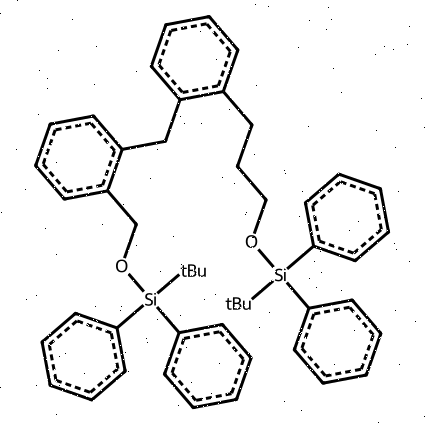 CC(C)(C)[Si](OCCCc1ccccc1Cc1ccccc1CO[Si](c1ccccc1)(c1ccccc1)C(C)(C)C)(c1ccccc1)c1ccccc1